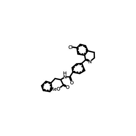 COC(=O)C(Cc1ccccc1)NC(=O)c1ccc(C2=NCCc3ccc(Cl)cc32)cc1